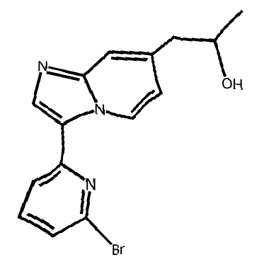 CC(O)Cc1ccn2c(-c3cccc(Br)n3)cnc2c1